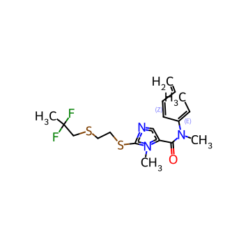 C=C/C=C\C(=C/C)N(C)C(=O)c1cnc(SCCSCC(C)(F)F)n1C